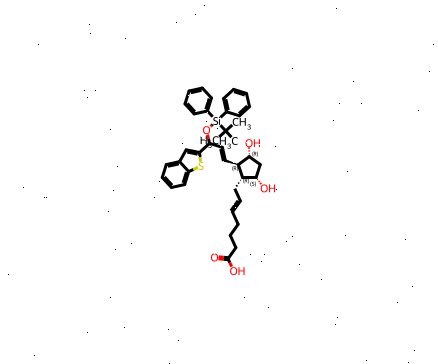 CC(C)(C)[Si](OC(C=C[C@@H]1[C@@H](CC=CCCCC(=O)O)[C@@H](O)C[C@H]1O)c1cc2ccccc2s1)(c1ccccc1)c1ccccc1